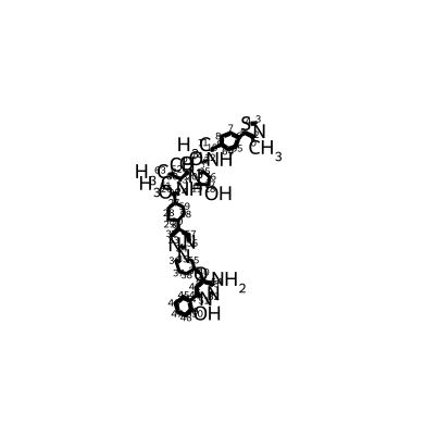 Cc1ncsc1-c1ccc([C@H](C)NC(=O)[C@@H]2C[C@@H](O)CN2C(=O)[C@@H](NC(=O)C2CCC(c3cnc(N4CCCC(Oc5cc(-c6ccccc6O)nnc5N)C4)nc3)CC2)C(C)(C)C)cc1